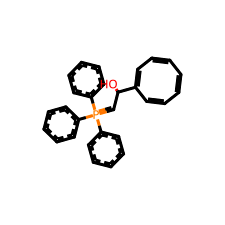 OC(C=P(c1ccccc1)(c1ccccc1)c1ccccc1)C1=C/C=C\C=C/C=C\1